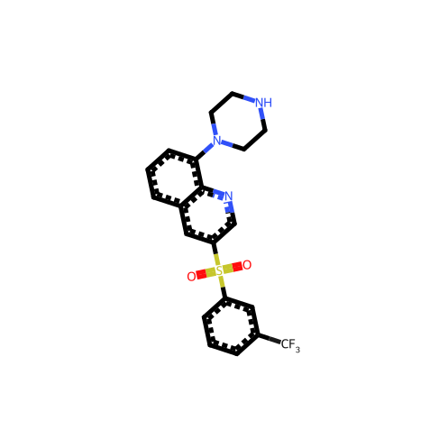 O=S(=O)(c1cccc(C(F)(F)F)c1)c1cnc2c(N3CCNCC3)cccc2c1